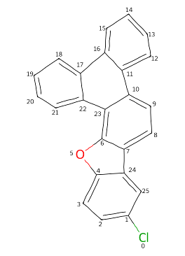 Clc1ccc2oc3c(ccc4c5ccccc5c5ccccc5c43)c2c1